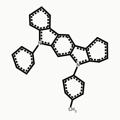 Cc1ccc(-n2c3ccccc3c3cc4c5ccccc5n(-c5ccccc5)c4cc32)cc1